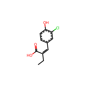 CCC(=Cc1ccc(O)c(Cl)c1)C(=O)O